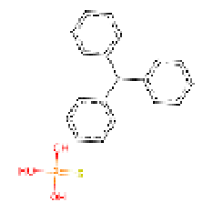 OP(O)(O)=S.c1ccc(C(c2ccccc2)c2ccccc2)cc1